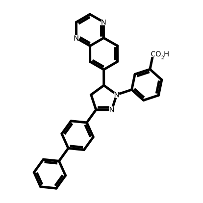 O=C(O)c1cccc(N2N=C(c3ccc(-c4ccccc4)cc3)CC2c2ccc3nccnc3c2)c1